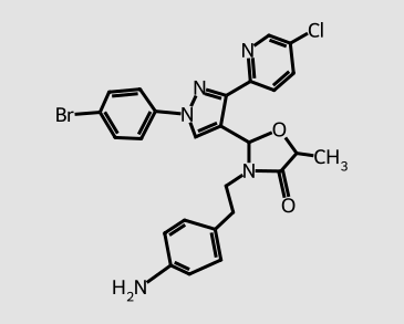 CC1OC(c2cn(-c3ccc(Br)cc3)nc2-c2ccc(Cl)cn2)N(CCc2ccc(N)cc2)C1=O